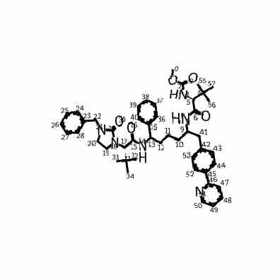 COC(=O)N[C@H](C(=O)NC(CCCC(NC(=O)[C@@H](N1CCN(Cc2ccccc2)C1=O)C(C)(C)C)c1ccccc1)Cc1ccc(-c2ccccn2)cc1)C(C)(C)C